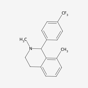 Cc1cccc2c1C(c1ccc(C(F)(F)F)cc1)N(C)CC2